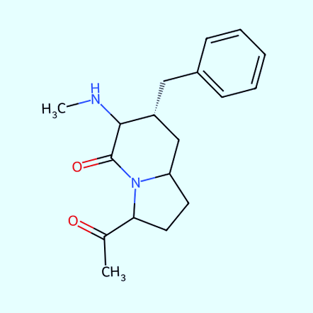 CNC1C(=O)N2C(CCC2C(C)=O)C[C@H]1Cc1ccccc1